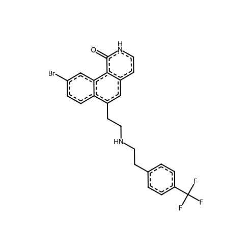 O=c1[nH]ccc2cc(CCNCCc3ccc(C(F)(F)F)cc3)c3ccc(Br)cc3c12